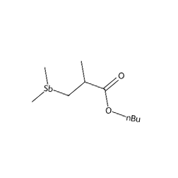 CCCCOC(=O)C(C)[CH2][Sb]([CH3])[CH3]